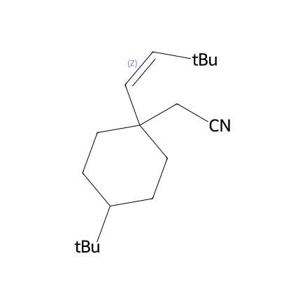 CC(C)(C)/C=C\C1(CC#N)CCC(C(C)(C)C)CC1